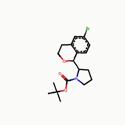 CC(C)(C)OC(=O)N1CCCC1C1OCCc2cc(Br)ccc21